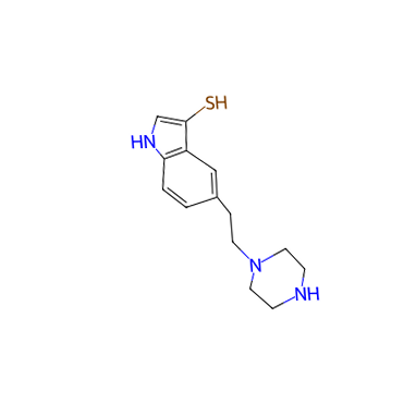 Sc1c[nH]c2ccc(CCN3CCNCC3)cc12